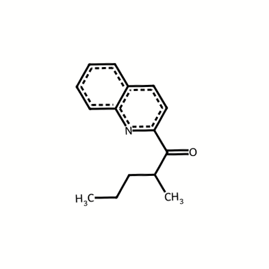 CCCC(C)C(=O)c1ccc2ccccc2n1